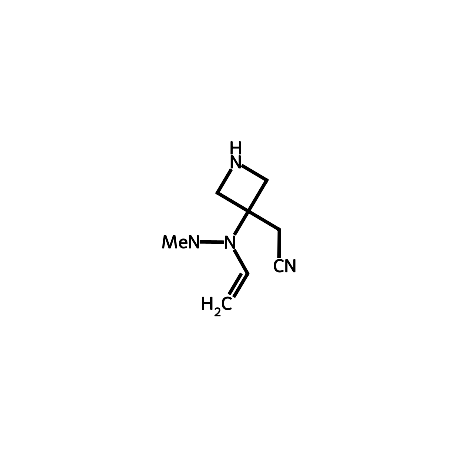 C=CN(NC)C1(CC#N)CNC1